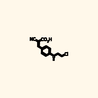 CN(CCCl)c1ccc(C=C(C#N)C(=O)O)cc1